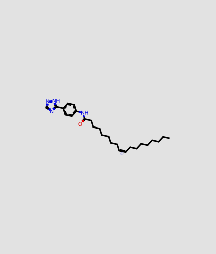 CCCCCCCC/C=C\CCCCCCCC(=O)Nc1ccc(-c2ncn[nH]2)cc1